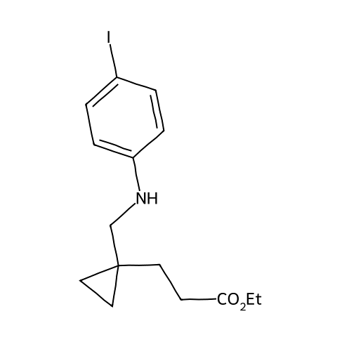 CCOC(=O)CCC1(CNc2ccc(I)cc2)CC1